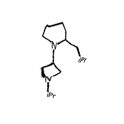 CC(C)CC1CCCN1C1CN(C(C)C)C1